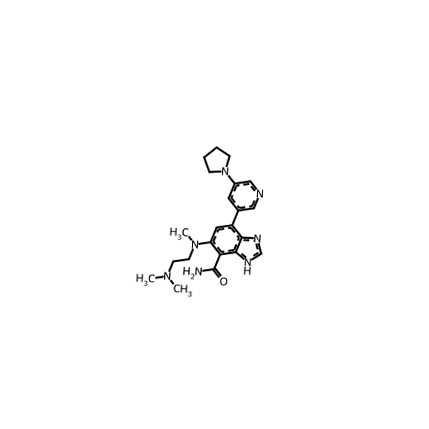 CN(C)CCN(C)c1cc(-c2cncc(N3CCCC3)c2)c2nc[nH]c2c1C(N)=O